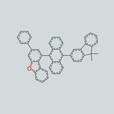 CC1(C)c2ccccc2-c2cc(-c3c4ccccc4c(-c4cc(-c5ccccc5)cc5oc6ccccc6c45)c4ccccc34)ccc21